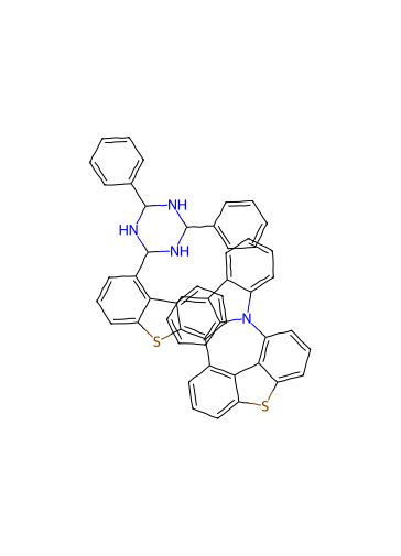 c1ccc(C2NC(c3ccccc3)NC(c3cccc4sc5c(-c6cccc7sc8cccc(-n9c%10ccccc%10c%10ccccc%109)c8c67)cccc5c34)N2)cc1